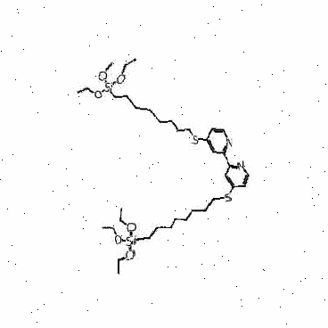 CCO[Si](CCCCCCCCSc1ccnc(-c2cc(SCCCCCCCC[Si](OCC)(OCC)OCC)ccn2)c1)(OC)OCC